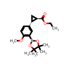 CCOC(=O)[C@@H]1C[C@H]1c1ccc(OC)c(B2OC(C)(C)C(C)(C)O2)c1